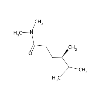 CC(C)[C@H](C)CCC(=O)N(C)C